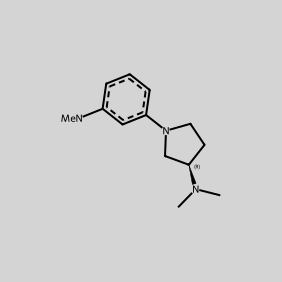 CNc1cccc(N2CC[C@@H](N(C)C)C2)c1